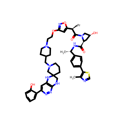 Cc1ncsc1-c1ccc([C@H](C)NC(=O)[C@@H]2C[C@@H](O)CN2C(=O)[C@@H](c2cc(OCCN3CCC(CN4CCCC5(CNc6nnc(-c7ccccc7O)cc6N5)C4)CC3)no2)C(C)C)cc1